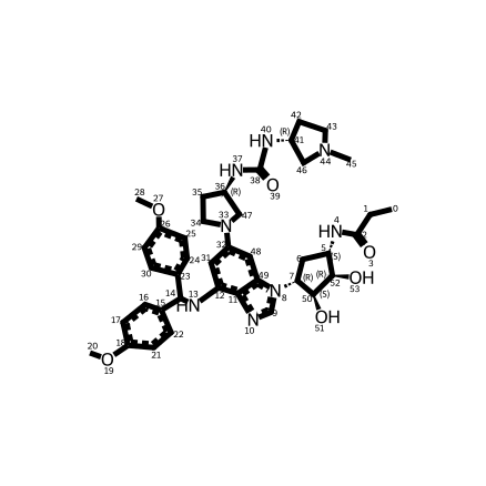 CCC(=O)N[C@H]1C[C@@H](n2cnc3c(NC(c4ccc(OC)cc4)c4ccc(OC)cc4)cc(N4CC[C@@H](NC(=O)N[C@@H]5CCN(C)C5)C4)cc32)[C@H](O)[C@@H]1O